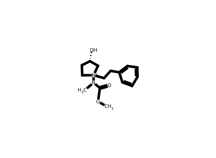 COC(=O)N(C)[N+]1(CCc2ccccc2)CC[C@H](O)C1